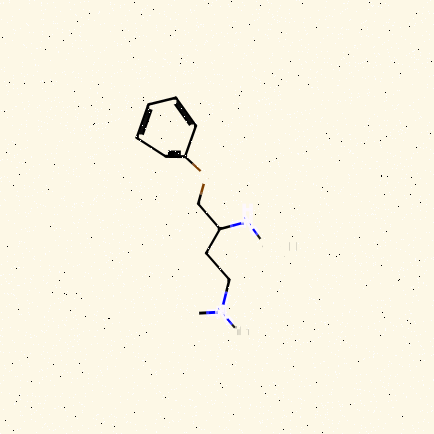 CC(C)N(C)CCC(CSc1ccccc1)NC(=O)O